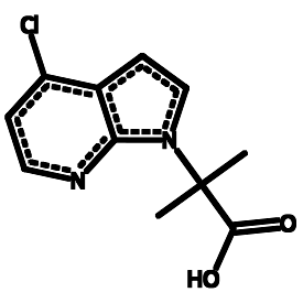 CC(C)(C(=O)O)n1ccc2c(Cl)ccnc21